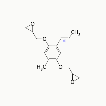 C/C=C/c1cc(OCC2CO2)c(C)cc1OCC1CO1